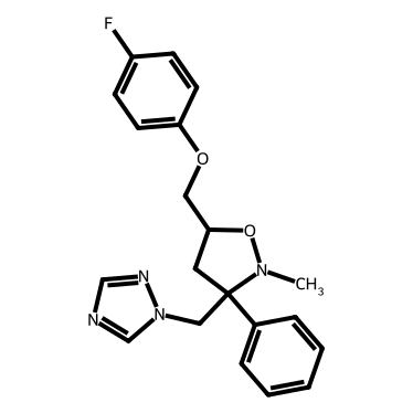 CN1OC(COc2ccc(F)cc2)CC1(Cn1cncn1)c1ccccc1